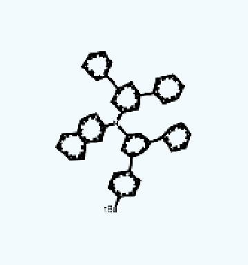 CC(C)(C)c1ccc(-c2cc(-c3ccccc3)cc(N(c3cc(-c4ccccc4)cc(-c4ccccc4)c3)c3ccc4ccccc4c3)c2)cc1